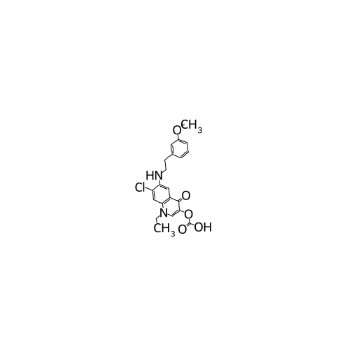 CCn1cc(OC(=O)O)c(=O)c2cc(NCCc3cccc(OC)c3)c(Cl)cc21